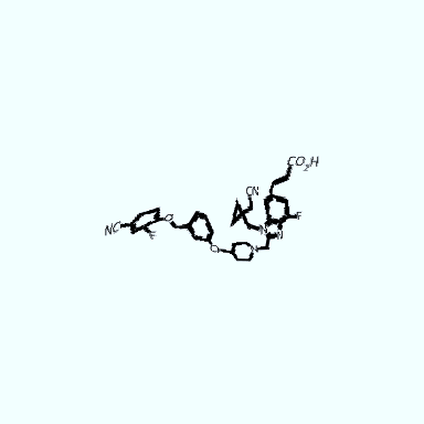 N#CCC1(Cn2c(CN3CCC(Oc4cccc(COc5ccc(C#N)cc5F)c4)CC3)nc3c(F)cc(/C=C/C(=O)O)cc32)CC1